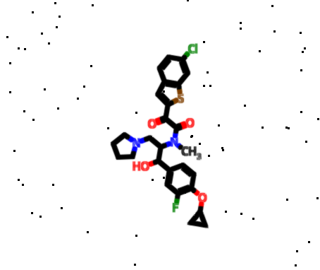 CN(C(=O)C(=O)c1cc2ccc(Cl)cc2s1)C(CN1CCCC1)C(O)c1ccc(OC2CC2)c(F)c1